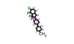 CC1CCC(C2CCC(C3CC4CCC(F)C(F)C4C3(F)P)CC2)CC1